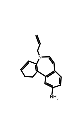 C=CCN1C=Cc2ccc(N)cc2C2=C1C=CCC2